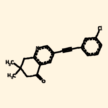 CC1(C)CC(=O)c2cc(C#Cc3cccc(Cl)c3)cnc2C1